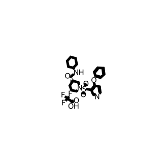 O=C(NC1CCCCC1)[C@H]1CCCN(S(=O)(=O)c2cnccc2Oc2ccccc2)C1.O=C(O)C(F)(F)F